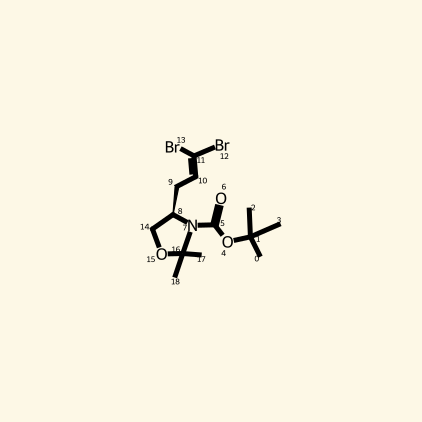 CC(C)(C)OC(=O)N1[C@H](CC=C(Br)Br)COC1(C)C